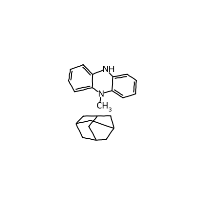 C1C2CC3CC1CC(C2)C3.CN1c2ccccc2Nc2ccccc21